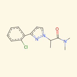 CC(C(=O)N(C)C)n1ccc(-c2ccccc2Cl)n1